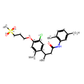 CCCCC(CC(=O)Nc1cc(C(=O)O)ccc1C(C)(C)C)c1cc(Cl)c(OCCCS(=O)(=O)CCC)cc1OC